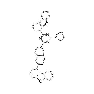 C1=CC2Oc3ccccc3C2C(c2ccc3cc(-c4nc(-c5ccccc5)nc(-c5cccc6c5oc5ccccc56)n4)ccc3c2)=C1